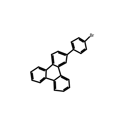 Brc1ccc(-c2ccc3c4ccccc4c4ccccc4c3c2)cc1